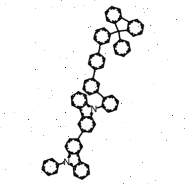 c1ccc(-n2c3ccccc3c3cc(-c4ccc5c(c4)c4ccccc4n5-c4ccccc4-c4cccc(-c5ccc(-c6cccc(C7(c8ccccc8)c8ccccc8-c8ccccc87)c6)cc5)c4)ccc32)cc1